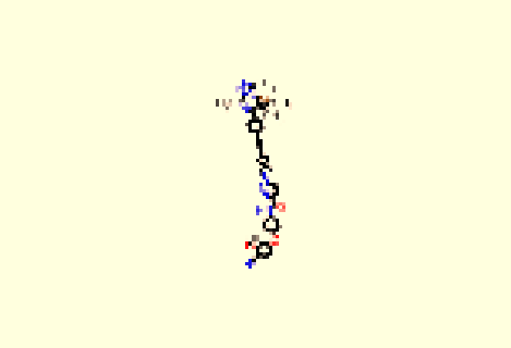 COc1cc(OC2CCC(NC(=O)c3ccc(N4CC5(CC(C#Cc6ccc(C7=N[C@@H](C)c8nnc(C)n8-c8sc(C)c(C)c87)cc6)C5)C4)nn3)CC2)ccc1C#N